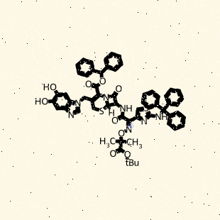 CC(C)(C)OC(=O)C(C)(C)O/N=C(\C(=O)NC1C(=O)N2C(C(=O)OC(c3ccccc3)c3ccccc3)=C(Cn3cnc4cc(O)c(O)cc43)CS[C@@H]12)c1csc(NC(c2ccccc2)(c2ccccc2)c2ccccc2)n1